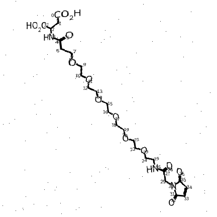 O=C(O)CC(NC(=O)CCOCCOCCOCCOCCOCCOCCNC(=O)CN1C(=O)C=CC1=O)C(=O)O